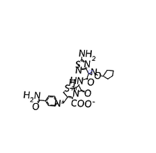 NC(=O)c1cc[n+](CC2=C(C(=O)[O-])N3C(=O)C(NC(=O)/C(=N\OC4CCCC4)c4nsc(N)n4)[C@H]3SC2)cc1